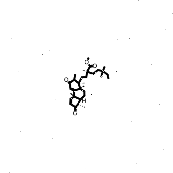 CCC(C)(C)CC[C@@](C)(CC[C@]1(C)C(C)C(=O)C=C2[C@@]3(C)C=CC(=O)[C@@H](C)[C@@H]3CC[C@]21C)C(=O)OC